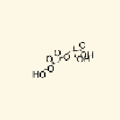 CC(CO)(COC(=O)CC(=O)OCO)C(=O)O